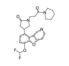 O=C(CCN1CC(c2ccc(OC(F)F)c3oc4ccncc4c23)CC1=O)N1CCCCC1